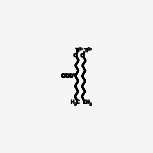 CCCCCCCCC[O][Ti+3].CCCCCCCCC[O][Ti+3].[O-2].[O-2].[O-2]